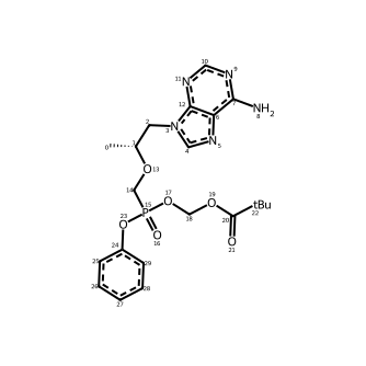 C[C@H](Cn1cnc2c(N)ncnc21)OCP(=O)(OCOC(=O)C(C)(C)C)Oc1ccccc1